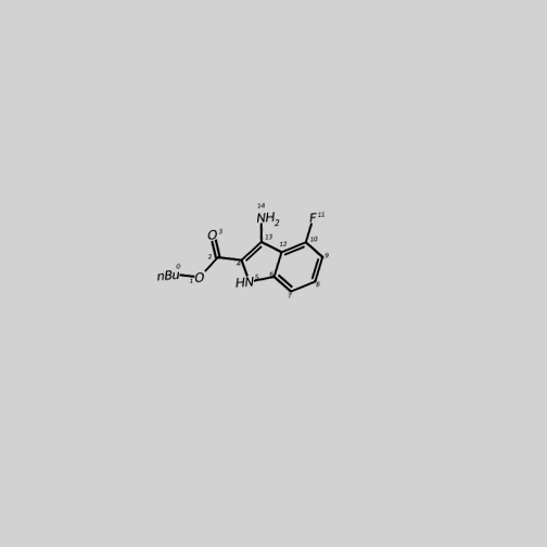 CCCCOC(=O)c1[nH]c2cccc(F)c2c1N